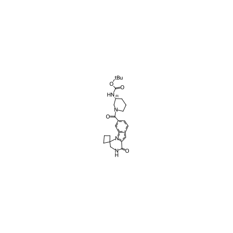 CC(C)(C)OC(=O)N[C@@H]1CCCN(C(=O)c2ccc3cc4n(c3c2)C2(CCC2)CNC4=O)C1